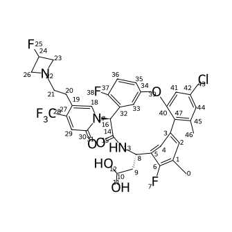 Cc1cc2cc(c1F)[C@H](CC(O)O)NC(=O)[C@@H](n1cc(CCN3CC(F)C3)c(C(F)(F)F)cc1=O)c1cc(ccc1F)Oc1cc(Cl)cc(C)c1-2